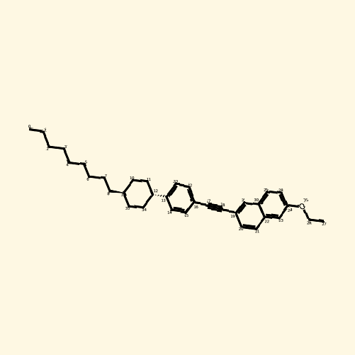 CCCCCCCCC[C@H]1CC[C@H](c2ccc(C#Cc3ccc4cc(OCC)ccc4c3)cc2)CC1